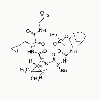 C=CCNC(=O)C(=O)[C@H](CC1CC1)NC(=O)[C@@H]1[C@@H]2[C@H](CN1C(=O)[C@@H](NC(=O)NC1(CS(=O)(=O)C(C)(C)C)CC3CCC(C3)C1)C(C)(C)C)C2(C)C